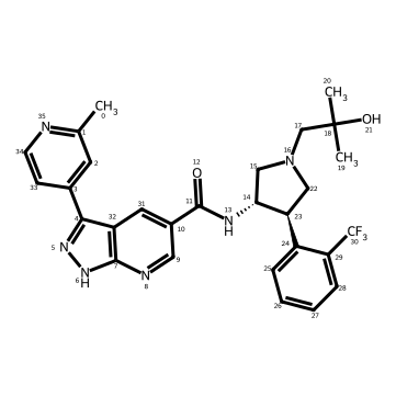 Cc1cc(-c2n[nH]c3ncc(C(=O)N[C@@H]4CN(CC(C)(C)O)C[C@H]4c4ccccc4C(F)(F)F)cc23)ccn1